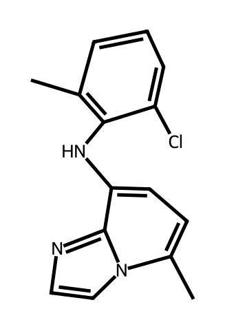 Cc1cccc(Cl)c1Nc1ccc(C)n2ccnc12